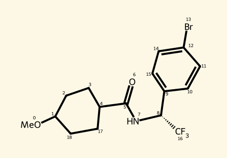 COC1CCC(C(=O)N[C@H](c2ccc(Br)cc2)C(F)(F)F)CC1